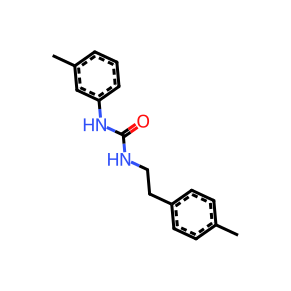 Cc1ccc(CCNC(=O)Nc2cccc(C)c2)cc1